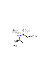 CC(=O)/C=C(\C)N[C@@H](CC(=O)O)C(=O)O.[NaH].[NaH]